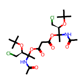 CC(=O)NC(C)(OC(=O)CC(=O)OC(C)(NC(C)=O)[C@@H](CCl)OC(C)(C)C)[C@@H](CCl)OC(C)(C)C